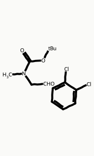 CN(CC=O)C(=O)OC(C)(C)C.Clc1ccccc1Cl